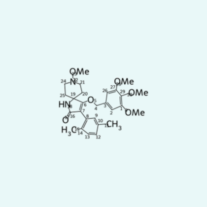 COc1cc(COC2=C(c3cc(C)ccc3C)C(=O)NC23CCN(OC)CC3)cc(OC)c1OC